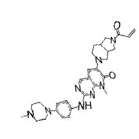 C=CC(=O)N1CC2CCN(c3cc4cnc(Nc5ccc(N6CCN(C)CC6)cc5)nc4n(C)c3=O)CC2C1